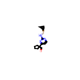 O=CC1(c2ccnc(NSC3CC3)n2)CCCC1